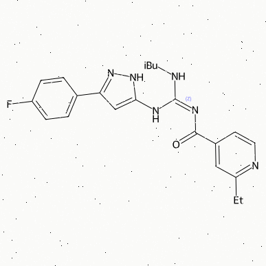 CCc1cc(C(=O)/N=C(\Nc2cc(-c3ccc(F)cc3)n[nH]2)NC(C)CC)ccn1